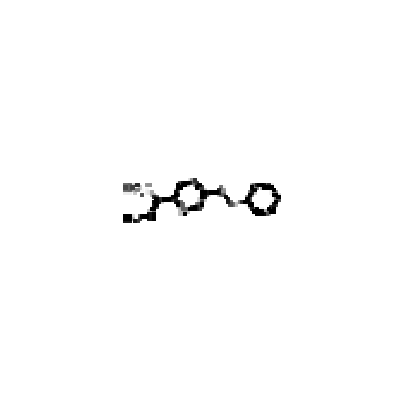 O=C(O)C(=NO)c1ccc(OCc2ccccc2)cn1